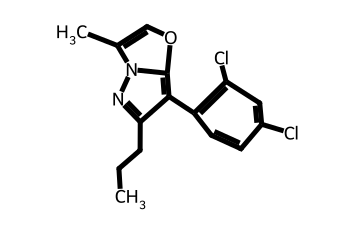 CCCc1nn2c(C)coc2c1-c1ccc(Cl)cc1Cl